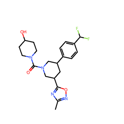 Cc1noc(C2CC(c3ccc(C(F)F)cc3)CN(C(=O)N3CCC(O)CC3)C2)n1